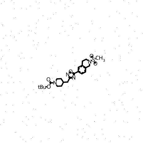 CC(C)(C)OC(=O)N1CCC(Cc2noc(-c3ccc4c(c3)CCN(S(C)(=O)=O)C4)n2)CC1